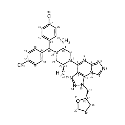 C[C@@H]1CN(c2nc3nncn3c3c2nnn3C[C@H]2CCCO2)[C@@H](C)CN1C(c1ccc(Cl)cc1)c1ccc(Cl)cc1